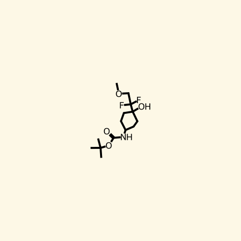 COCC(F)(F)C1(O)CCC(NC(=O)OC(C)(C)C)CC1